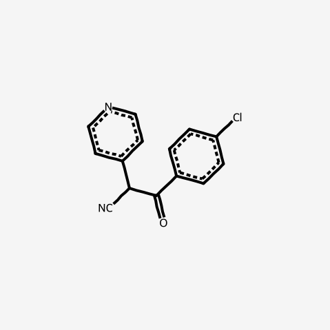 N#CC(C(=O)c1ccc(Cl)cc1)c1ccncc1